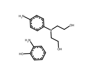 Nc1ccc(N(CCO)CCO)cc1.Nc1ccccc1O